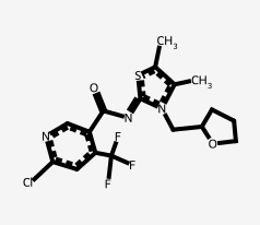 Cc1sc(=NC(=O)c2cnc(Cl)cc2C(F)(F)F)n(CC2CCCO2)c1C